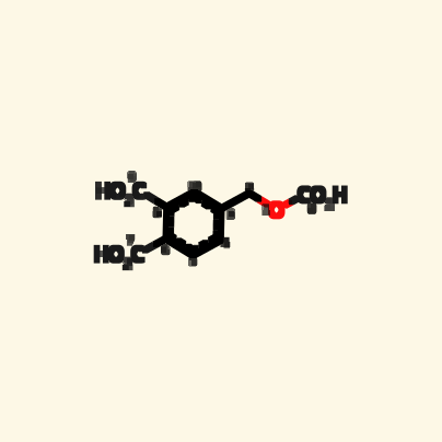 O=C(O)OCc1ccc(C(=O)O)c(C(=O)O)c1